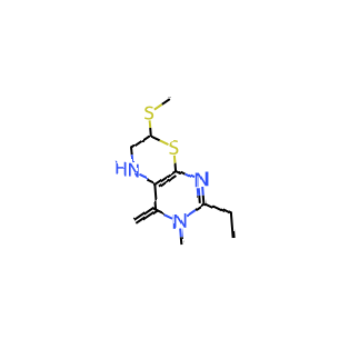 C=C1C2=C(N=C(CC)N1C)SC(SC)CN2